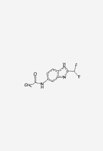 O=CC(=O)Nc1ccc2[nH]c(C(F)F)nc2c1